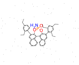 CCc1ccc(-c2cc3ccccc3c3c2OP(N)(=O)Oc2c(-c4c(CC)cc(CC)cc4CC)cc4ccccc4c2-3)c(CC)c1